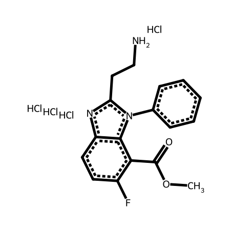 COC(=O)c1c(F)ccc2nc(CCN)n(-c3ccccc3)c12.Cl.Cl.Cl.Cl